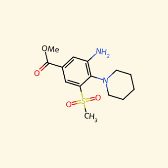 COC(=O)c1cc(N)c(N2CCCCC2)c(S(C)(=O)=O)c1